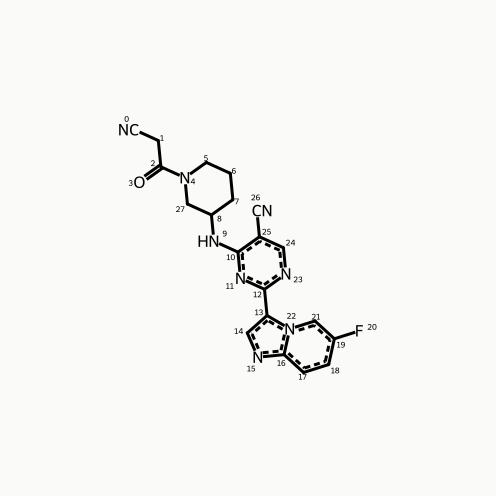 N#CCC(=O)N1CCCC(Nc2nc(-c3cnc4ccc(F)cn34)ncc2C#N)C1